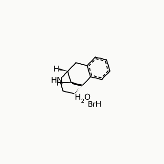 Br.O.c1ccc2c(c1)C[C@H]1NCC[C@@]23CCCC[C@H]13